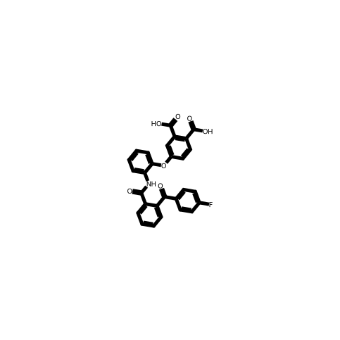 O=C(O)c1ccc(Oc2ccccc2NC(=O)c2ccccc2C(=O)c2ccc(F)cc2)cc1C(=O)O